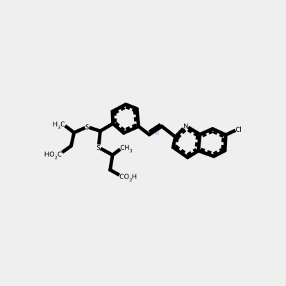 CC(CC(=O)O)SC(SC(C)CC(=O)O)c1cccc(/C=C/c2ccc3ccc(Cl)cc3n2)c1